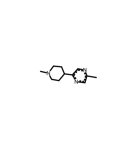 Cc1cnc(C2CCN(C)CC2)cn1